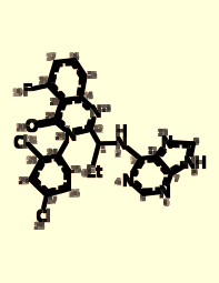 CCC(Nc1ncnc2[nH]cnc12)c1nc2cccc(F)c2c(=O)n1-c1ccc(Cl)cc1Cl